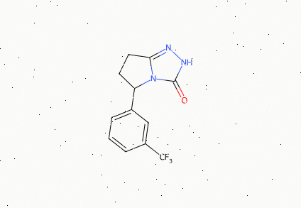 O=c1[nH]nc2n1C(c1cccc(C(F)(F)F)c1)CC2